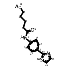 CC(=O)CCCCC(=O)Nc1ccc(-c2nccs2)cc1